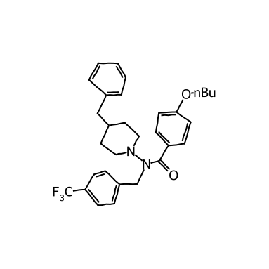 CCCCOc1ccc(C(=O)N(Cc2ccc(C(F)(F)F)cc2)N2CCC(Cc3ccccc3)CC2)cc1